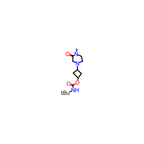 CN1CCN(C2CC(OC(=O)NC(C)(C)C)C2)CC1=O